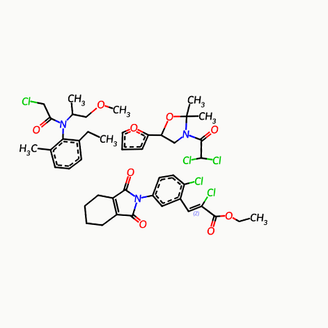 CC1(C)OC(c2ccco2)CN1C(=O)C(Cl)Cl.CCOC(=O)/C(Cl)=C/c1cc(N2C(=O)C3=C(CCCC3)C2=O)ccc1Cl.CCc1cccc(C)c1N(C(=O)CCl)C(C)COC